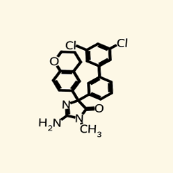 CN1C(=O)C(c2cccc(-c3cc(Cl)cc(Cl)c3)c2)(c2ccc3c(c2)CCCO3)N=C1N